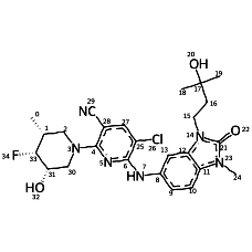 C[C@@H]1CN(c2nc(Nc3ccc4c(c3)n(CCC(C)(C)O)c(=O)n4C)c(Cl)cc2C#N)C[C@H](O)[C@@H]1F